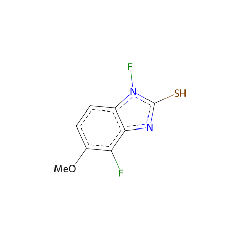 COc1ccc2c(nc(S)n2F)c1F